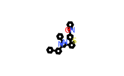 c1ccc(-c2cccc(-c3cc(-c4cccc5sc6cc(-c7nc8ccccc8o7)ccc6c45)nc(-c4ccccc4)n3)c2)cc1